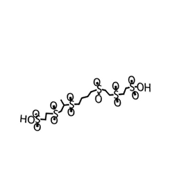 CC(CS(=O)(=O)CCS(=O)(=O)O)S(=O)(=O)CCCCS(=O)(=O)CCS(=O)(=O)CCS(=O)(=O)O